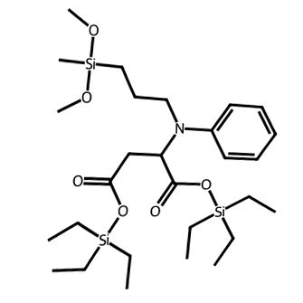 CC[Si](CC)(CC)OC(=O)CC(C(=O)O[Si](CC)(CC)CC)N(CCC[Si](C)(OC)OC)c1ccccc1